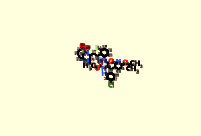 COC(=O)N[C@H](C(=O)Nc1cccc(F)c1CCC1C2CN2C2CCCS(=O)(=O)N1C2)[C@@H](c1ccc(Cl)cc1)c1ccc(OC(C)C)nc1